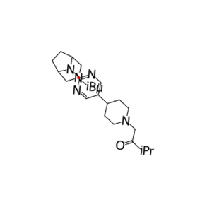 CCC(C)N1CC2CCC(C1)N2c1ncc(C2CCN(CC(=O)C(C)C)CC2)cn1